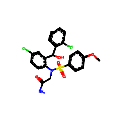 COc1ccc(S(=O)(=O)N(CC(N)=O)c2ccc(Cl)cc2C(O)c2ccccc2Cl)cc1